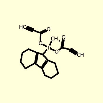 C#CC(=O)[O][Ti]([CH3])([O]C(=O)C#C)[CH]1C2=C(CCCC2)C2=C1CCCC2